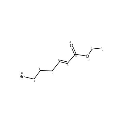 CCOC(=O)/C=C/CCCBr